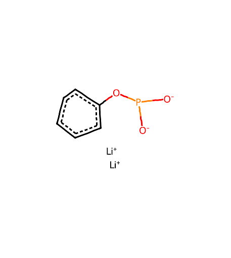 [Li+].[Li+].[O-]P([O-])Oc1ccccc1